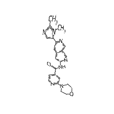 Cc1ncc(-c2cc3cc(NC(=O)c4ccnc(N5CCOCC5)c4)ncc3cn2)n1C